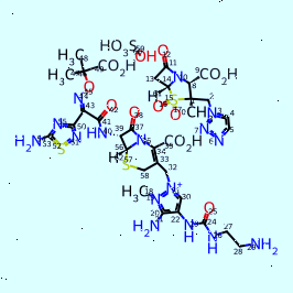 C[C@]1(Cn2ccnn2)[C@H](C(=O)O)N2C(=O)C[C@H]2S1(=O)=O.Cn1c(N)c(NC(=O)NCCN)c[n+]1CC1=C(C(=O)O)N2C(=O)[C@@H](NC(=O)/C(=N\OC(C)(C)C(=O)O)c3nsc(N)n3)[C@H]2SC1.O=S(=O)(O)O